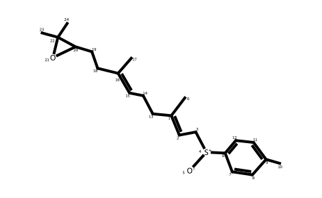 C/C(=C\C[S+]([O-])c1ccc(C)cc1)CC/C=C(\C)CCC1OC1(C)C